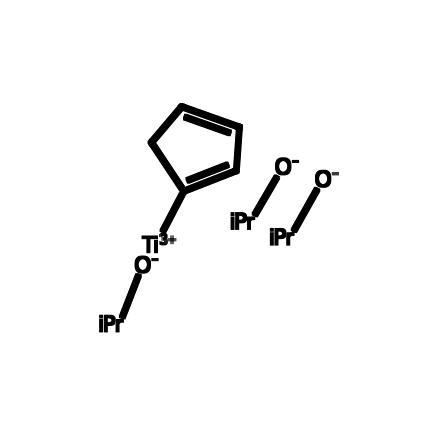 CC(C)[O-].CC(C)[O-].CC(C)[O-].[Ti+3][C]1=CC=CC1